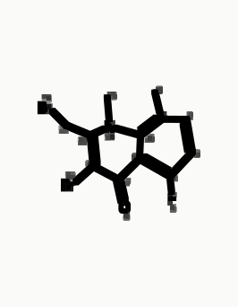 Cc1ccc(F)c2c(=O)c(Br)c(CBr)n(C)c12